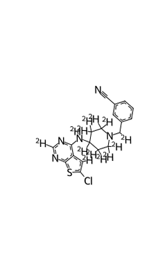 [2H]c1nc(N([2H])C2([2H])C([2H])([2H])C([2H])([2H])N(C([2H])c3cccc(C#N)c3)C([2H])([2H])C2([2H])[2H])c2c([2H])c(Cl)sc2n1